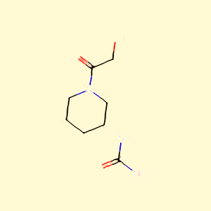 NC(=O)N[C@@H]1CCCN(C(=O)CO)C1